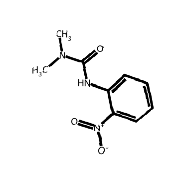 CN(C)C(=O)Nc1ccccc1[N+](=O)[O-]